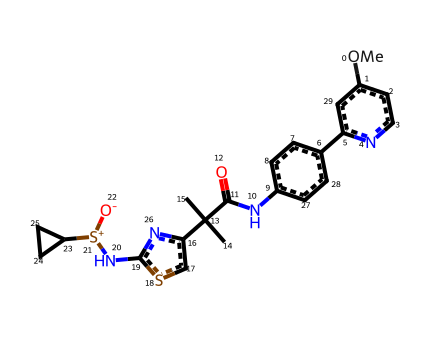 COc1ccnc(-c2ccc(NC(=O)C(C)(C)c3csc(N[S+]([O-])C4CC4)n3)cc2)c1